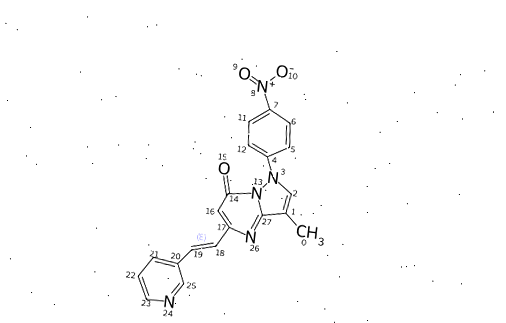 Cc1cn(-c2ccc([N+](=O)[O-])cc2)n2c(=O)cc(/C=C/c3cccnc3)nc12